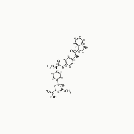 CC(=O)NC(CCC(=O)O)c1ccc(N(C)C(=O)Cc2ccc(NC(=O)C3CNc4ccccc43)cc2)cc1